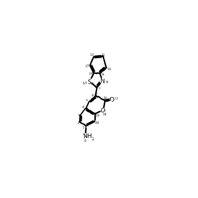 Nc1ccc2cc(-c3nc4ccccc4s3)c(=O)oc2c1